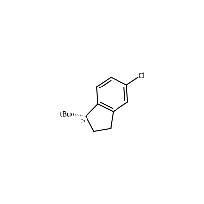 CC(C)(C)[C@H]1CCc2cc(Cl)ccc21